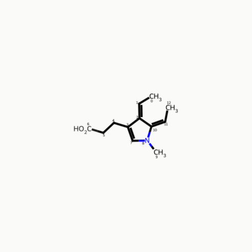 C/C=c1/c(CCC(=O)O)cn(C)/c1=C/C